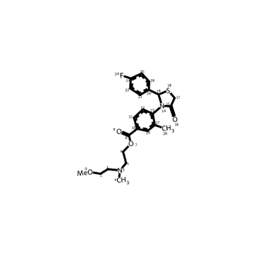 COCCN(C)CCOC(=O)c1ccc(N2C(=O)CSC2c2ccc(F)cc2)c(C)c1